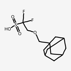 O=S(=O)(O)C(F)(F)COCC12CC3CC(CC(C3)C1)C2